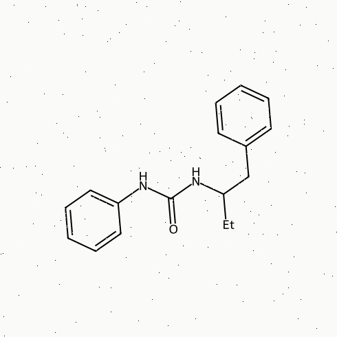 CCC(Cc1ccccc1)NC(=O)Nc1ccccc1